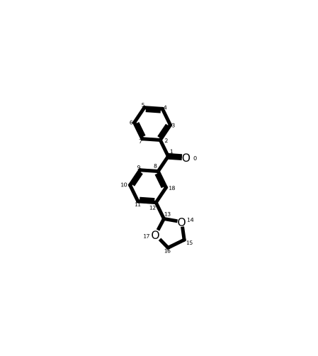 O=C(c1ccccc1)c1cccc(C2OCCO2)c1